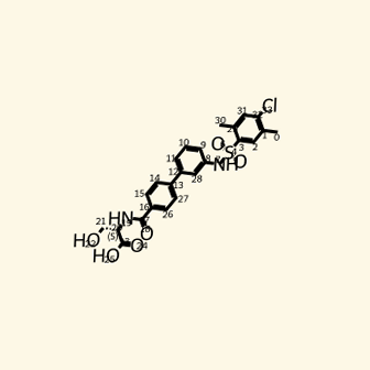 Cc1cc(S(=O)(=O)Nc2cccc(-c3ccc(C(=O)N[C@@H](CO)C(=O)O)cc3)c2)c(C)cc1Cl